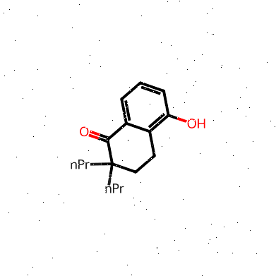 CCCC1(CCC)CCc2c(O)cccc2C1=O